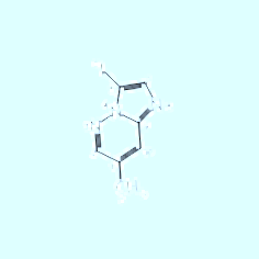 Cc1cnn2c(I)cnc2c1